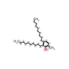 CCCCCCCCCCc1ccc(C)c(O)c1CCCCCCCCCC